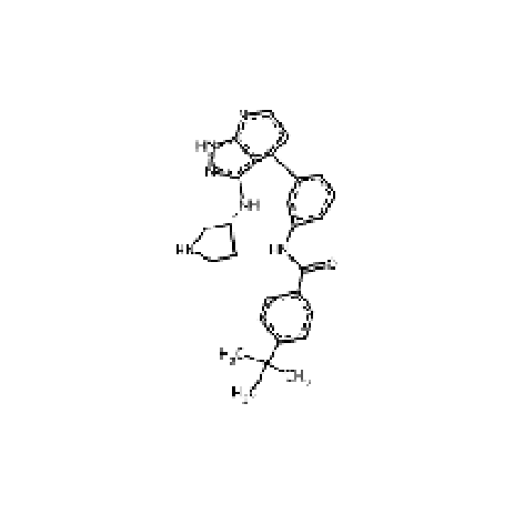 CC(C)(C)c1ccc(C(=O)Nc2cccc(-c3ccnc4[nH]nc(N[C@@H]5CCNC5)c34)c2)cc1